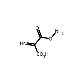 N=C(C(=O)O)C(=O)ON